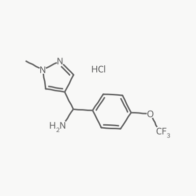 Cl.Cn1cc(C(N)c2ccc(OC(F)(F)F)cc2)cn1